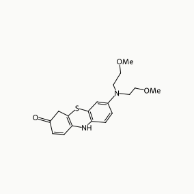 COCCN(CCOC)c1ccc2c(c1)SC1=C(C=CC(=O)C1)N2